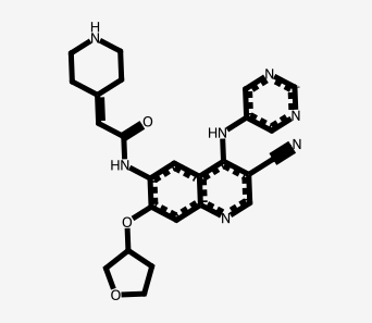 N#Cc1cnc2cc(OC3CCOC3)c(NC(=O)C=C3CCNCC3)cc2c1Nc1cn[c]nc1